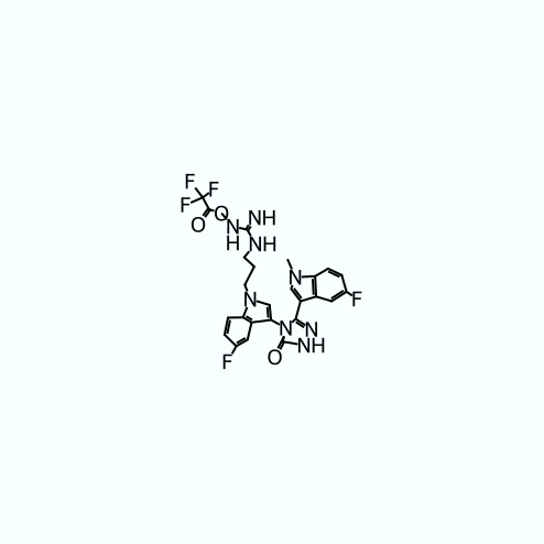 Cn1cc(-c2n[nH]c(=O)n2-c2cn(CCCNC(=N)NOC(=O)C(F)(F)F)c3ccc(F)cc23)c2cc(F)ccc21